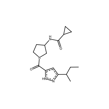 CCC(C)c1cc(C(=O)N2CCC(NC(=O)C3CC3)C2)[nH]n1